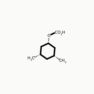 C[C@@H]1C[C@H](C)C[C@H](OC(=O)O)C1